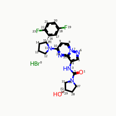 Br.O=C(Nc1cnn2ccc(N3CCC[C@@H]3c3cc(F)ccc3F)nc12)N1CC[C@H](O)C1